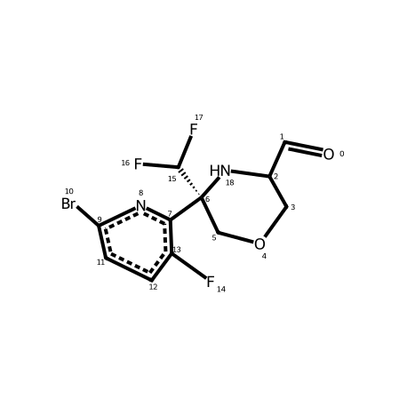 O=CC1COC[C@](c2nc(Br)ccc2F)(C(F)F)N1